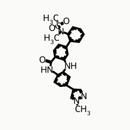 CN(c1ccccc1-c1ccc2c(c1)Nc1cc(-c3cnn(C)c3)ccc1NC2=O)S(C)(=O)=O